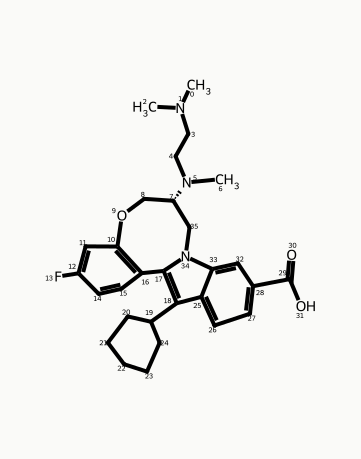 CN(C)CCN(C)[C@H]1COc2cc(F)ccc2-c2c(C3CCCCC3)c3ccc(C(=O)O)cc3n2C1